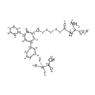 NC(NC(=O)CCCCCOc1cc(-c2ccccc2)cc(-c2ccccc2)n1)C(=O)O.O=C(O)C(F)(F)F